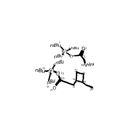 CCCCCCC(=O)[O][Sn]([CH2]CCC)([CH2]CCC)[CH2]CCC.CCC[CH2][Sn]([CH2]CCC)([CH2]CCC)[O]C(=O)CC1CCC1C